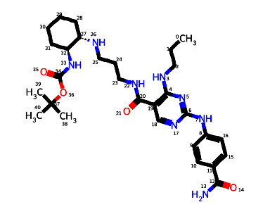 CCCNc1nc(Nc2ccc(C(N)=O)cc2)ncc1C(=O)NCCCN[C@H]1CCCC[C@@H]1NC(=O)OC(C)(C)C